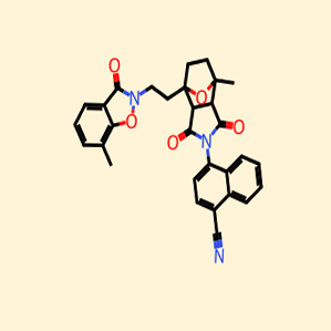 Cc1cccc2c(=O)n(CCC34CCC(C)(O3)C3C(=O)N(c5ccc(C#N)c6ccccc56)C(=O)C34)oc12